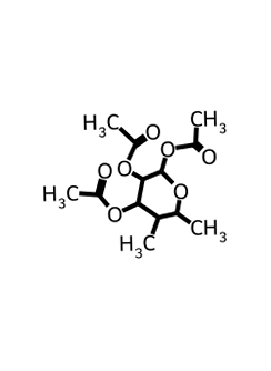 CC(=O)OC1OC(C)C(C)C(OC(C)=O)C1OC(C)=O